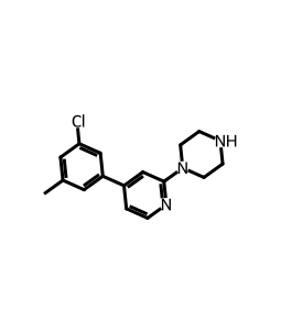 Cc1cc(Cl)cc(-c2ccnc(N3CCNCC3)c2)c1